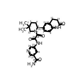 CC1(C)CC[C@@H](c2ccc3c(c2)CCC(=O)N3)N(C(=O)C(=O)Nc2cncc(C(N)=O)c2)C1